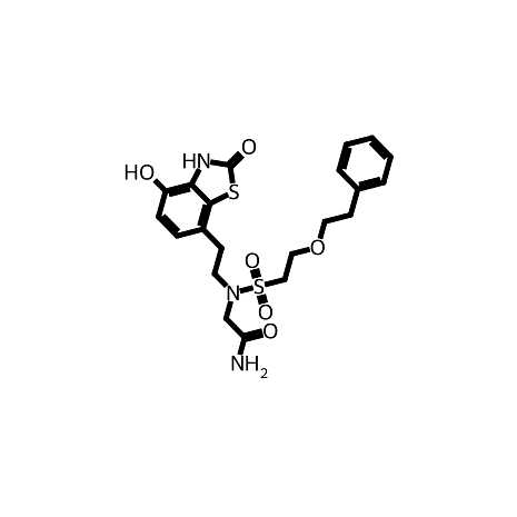 NC(=O)CN(CCc1ccc(O)c2[nH]c(=O)sc12)S(=O)(=O)CCOCCc1ccccc1